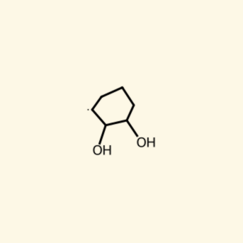 OC1[CH]CCCC1O